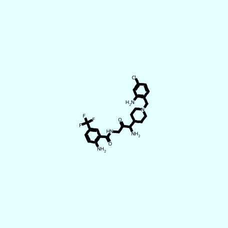 Nc1cc(Cl)ccc1CN1CCC(C(N)C(=O)CNC(=O)c2cc(C(F)(F)F)ccc2N)CC1